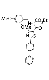 CCOC(=O)C1C(=O)c2sc(-c3ccc(-c4ccccc4)cc3)nc2CN1Cc1ccc(OC)cc1OC